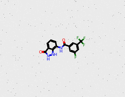 O=C(Nc1cccc2c(=O)[nH][nH]c12)c1cc(F)cc(C(F)(F)F)c1